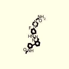 CC(=O)Nc1cccc(-c2cccc3cnc(Nc4ccc(N5CCN(CC(N)=O)CC5)c(F)c4)nc23)c1